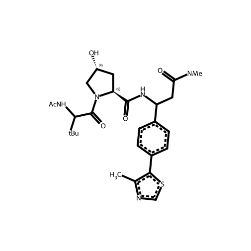 CNC(=O)CC(NC(=O)[C@@H]1C[C@@H](O)CN1C(=O)C(NC(C)=O)C(C)(C)C)c1ccc(-c2scnc2C)cc1